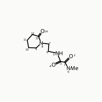 CNC(=O)C(=O)NCCN1CCCCC1=O